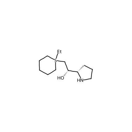 CCS1(C[C@@H](O)[C@@H]2CCCN2)CCCCC1